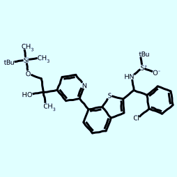 CC(O)(CO[Si](C)(C)C(C)(C)C)c1ccnc(-c2cccc3cc(C(N[S+]([O-])C(C)(C)C)c4ccccc4Cl)sc23)c1